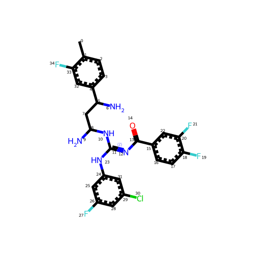 Cc1ccc(C(N)CC(N)N/C(=N\C(=O)c2ccc(F)c(F)c2)Nc2cc(F)cc(Cl)c2)cc1F